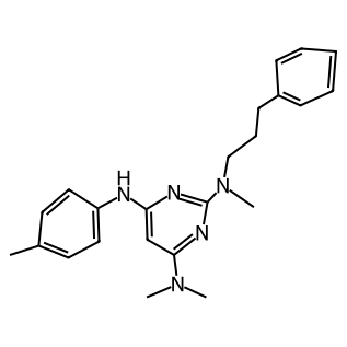 Cc1ccc(Nc2cc(N(C)C)nc(N(C)CCCc3ccccc3)n2)cc1